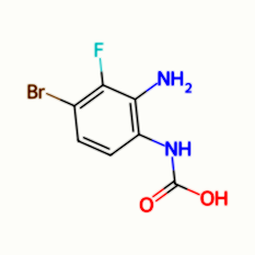 Nc1c(NC(=O)O)ccc(Br)c1F